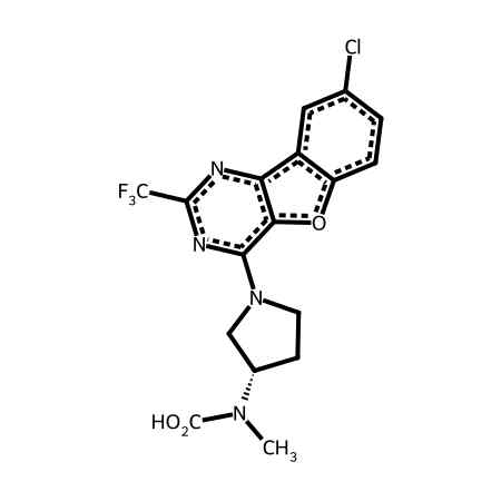 CN(C(=O)O)[C@H]1CCN(c2nc(C(F)(F)F)nc3c2oc2ccc(Cl)cc23)C1